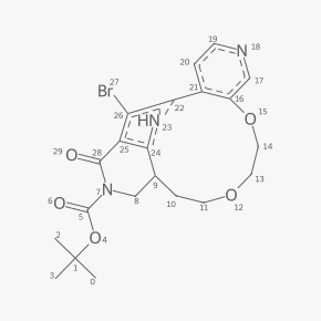 CC(C)(C)OC(=O)N1CC2CCOCCOc3cnccc3-c3[nH]c2c(c3Br)C1=O